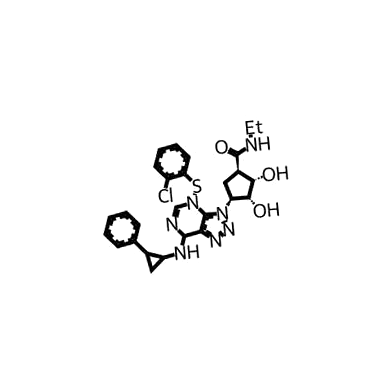 CCNC(=O)[C@@H]1C[C@H](n2nnc3c2N(Sc2ccccc2Cl)C=NC3NC2CC2c2ccccc2)[C@@H](O)[C@H]1O